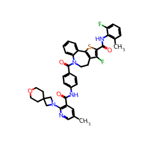 Cc1cnc(N2CC3(CCOCC3)C2)c(C(=O)Nc2ccc(C(=O)N3CCc4c(sc(C(=O)Nc5c(C)cccc5F)c4F)-c4ccccc43)cc2)c1